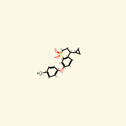 Cc1ccc(Oc2ccc3c(c2)S(=O)(=O)CCC3C2CC2)cc1